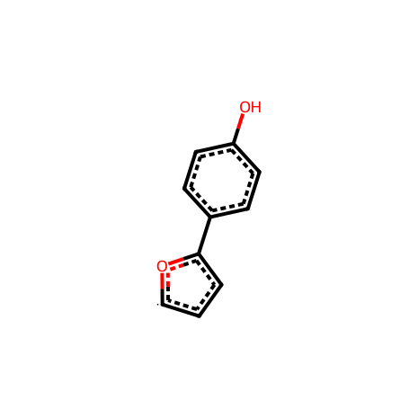 Oc1ccc(-c2cc[c]o2)cc1